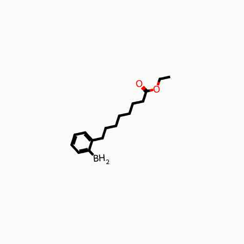 Bc1ccccc1CCCCCCCC(=O)OCC